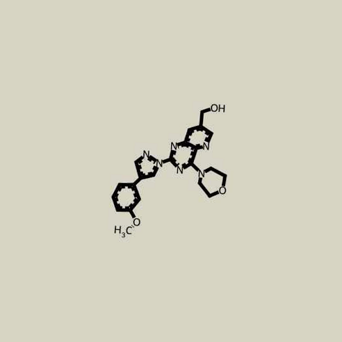 COc1cccc(-c2cnn(-c3nc(N4CCOCC4)c4ncc(CO)cc4n3)c2)c1